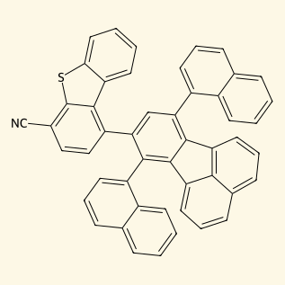 N#Cc1ccc(-c2cc(-c3cccc4ccccc34)c3c(c2-c2cccc4ccccc24)-c2cccc4cccc-3c24)c2c1sc1ccccc12